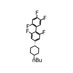 CCCC[C@H]1CC[C@H](c2cc(F)c(-c3cc(F)c(F)cc3F)c(F)c2)CC1